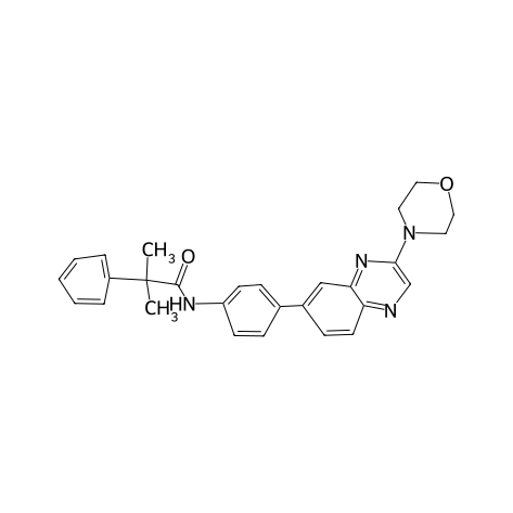 CC(C)(C(=O)Nc1ccc(-c2ccc3ncc(N4CCOCC4)nc3c2)cc1)c1ccccc1